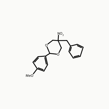 COc1ccc(C2OCC(Cc3ccccc3)([N+](=O)[O-])CO2)cc1